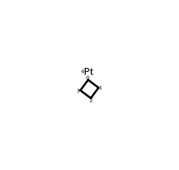 C1CCC1.[Pt]